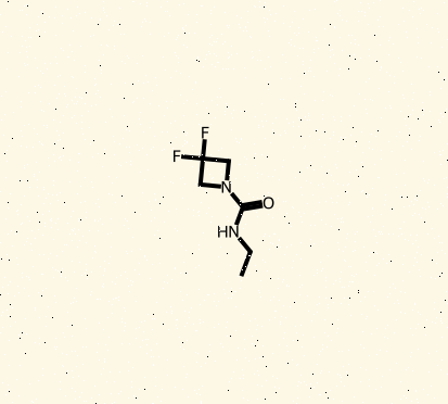 CCNC(=O)N1CC(F)(F)C1